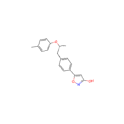 Cc1ccc(OC(C)Cc2ccc(-c3cc(O)no3)cc2)cc1